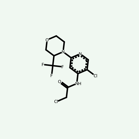 O=C(CCl)Nc1cc(N2CCOCC2C(F)(F)F)ncc1Cl